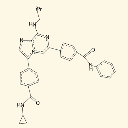 CC(C)CNc1nc(-c2ccc(C(=O)Nc3ccccc3)cc2)cn2c(-c3ccc(C(=O)NC4CC4)cc3)cnc12